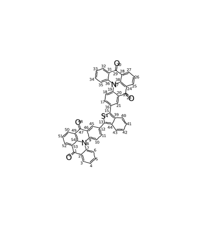 O=c1c2ccccc2n2c3ccc(-c4sc(-c5ccc6c(c5)c(=O)c5cccc7c(=O)c8ccccc8n6c75)c5ccccc45)cc3c(=O)c3cccc1c32